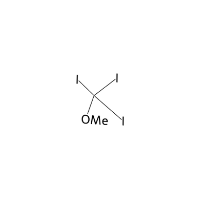 COC(I)(I)I